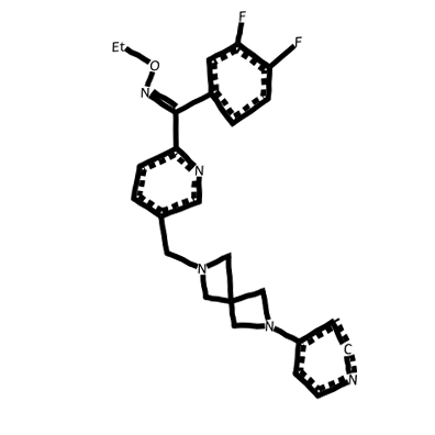 CCO/N=C(\c1ccc(F)c(F)c1)c1ccc(CN2CC3(C2)CN(c2ccncc2)C3)cn1